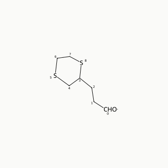 O=[C]CCC1CSCCS1